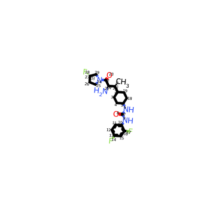 C[C@@H](C1CCC(NC(=O)Nc2ccc(F)cc2F)CC1)[C@H](N)C(=O)N1CC[C@H](F)C1